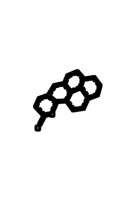 O=c1ccc2cc3ccc4cccc5ccc(c2o1)c3c45